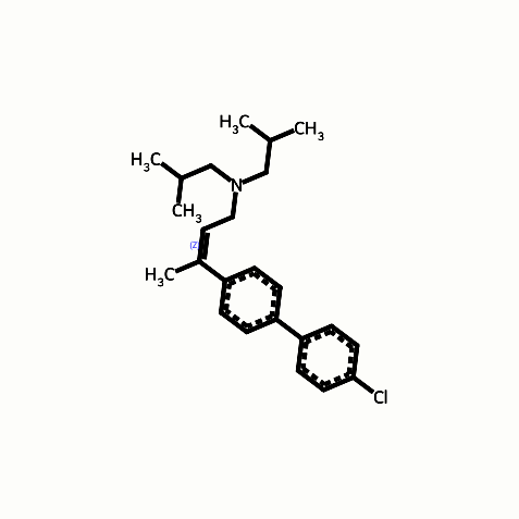 C/C(=C/CN(CC(C)C)CC(C)C)c1ccc(-c2ccc(Cl)cc2)cc1